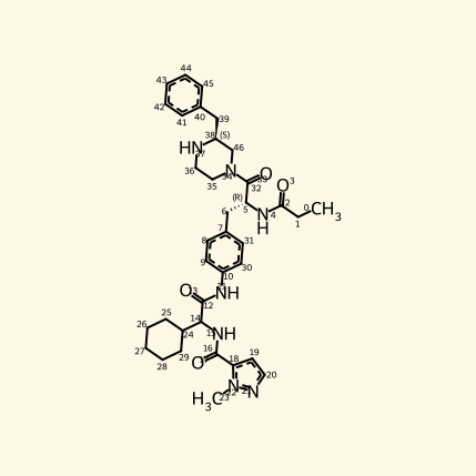 CCC(=O)N[C@H](Cc1ccc(NC(=O)C(NC(=O)c2ccnn2C)C2CCCCC2)cc1)C(=O)N1CCN[C@@H](Cc2ccccc2)C1